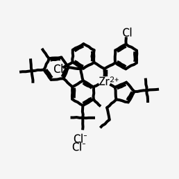 CCCC1C=C(C(C)(C)C)C=[C]1[Zr+2](=[C](c1cccc(Cl)c1)c1cccc(Cl)c1)[c]1c(C)c(C(C)(C)C)cc2c1Cc1cc(C)c(C(C)(C)C)cc1-2.[Cl-].[Cl-]